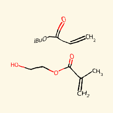 C=C(C)C(=O)OCCO.C=CC(=O)OCC(C)C